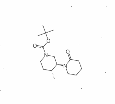 C[C@@H]1CCN(C(=O)OC(C)(C)C)C[C@H]1N1CCCCC1=O